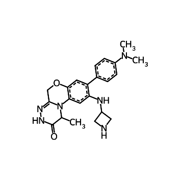 CC1C(=O)NN=C2COc3cc(-c4ccc(N(C)C)cc4)c(NC4CNC4)cc3N21